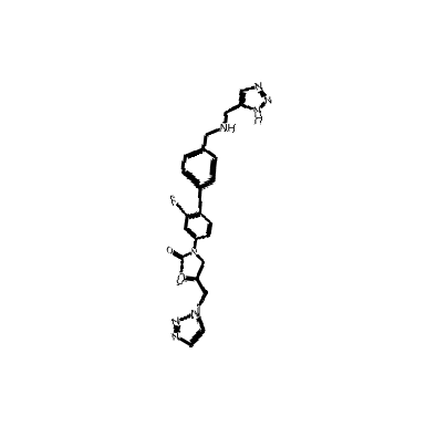 O=C1OC(Cn2ccnn2)CN1c1ccc(-c2ccc(CNCc3cnn[nH]3)cc2)c(F)c1